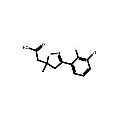 CC1(CC(=O)O)CC(c2cccc(Cl)c2F)=NO1